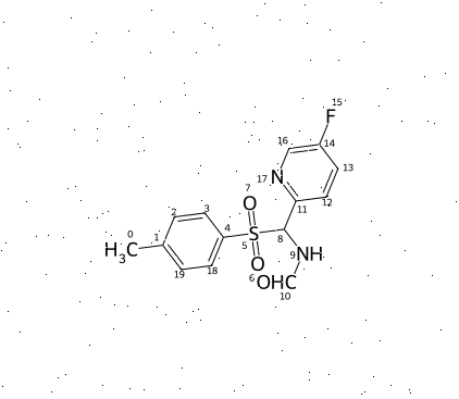 Cc1ccc(S(=O)(=O)C(NC=O)c2ccc(F)cn2)cc1